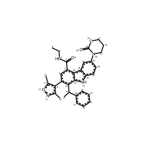 CCNC(=O)c1cc(-c2c(C)noc2C)c(C(C)c2ccccc2)c2[nH]c3ccc(N4CCCOC4=O)cc3c12